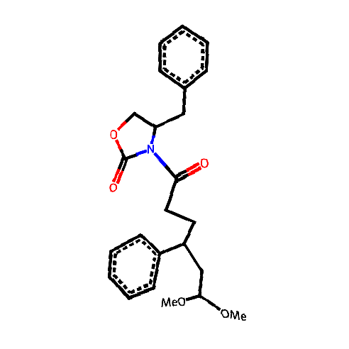 COC(CC(CCC(=O)N1C(=O)OCC1Cc1ccccc1)c1ccccc1)OC